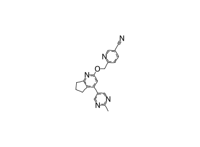 Cc1ncc(-c2cc(OCc3ccc(C#N)cn3)nc3c2CCC3)cn1